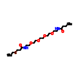 CC(C)(C)CCC(=O)NCCOCCOCCOCCOCCNC(=O)CCSCC(C)(C)C